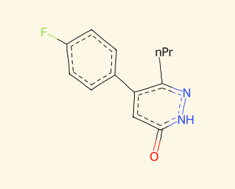 CCCc1n[nH]c(=O)cc1-c1ccc(F)cc1